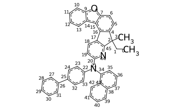 CCC1(C)c2ccc3oc4ccccc4c3c2-c2ccc(N(c3ccc(-c4ccccc4)cc3)c3cccc4ccccc34)nc21